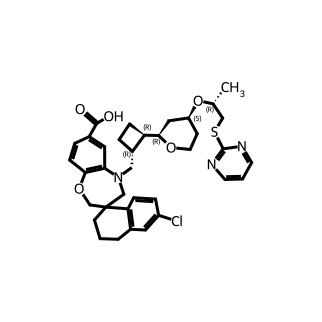 C[C@H](CSc1ncccn1)O[C@H]1CCO[C@@H]([C@@H]2CC[C@H]2CN2CC3(CCCc4cc(Cl)ccc43)COc3ccc(C(=O)O)cc32)C1